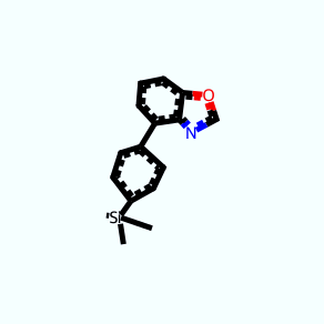 C[Si](C)(C)c1ccc(-c2cccc3ocnc23)cc1